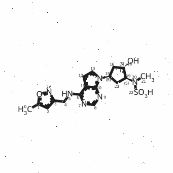 Cc1cc(CNc2ncnc3c2ccn3[C@H]2C[C@H](O)[C@@H](N(C)S(=O)(=O)O)C2)no1